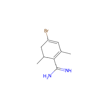 CC1=C(C(=N)N)C(C)CC(Br)=C1